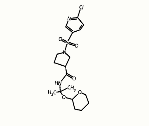 CC(C)(NC(=O)[C@H]1CCN(S(=O)(=O)c2ccc(Cl)nc2)C1)OC1CCCCO1